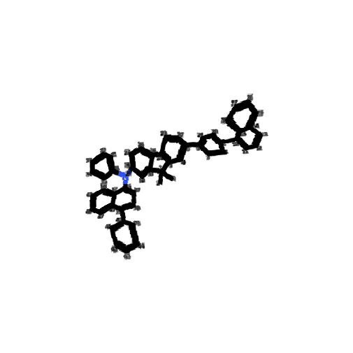 CC1(C)c2cc(-c3ccc(-c4cccc5ccccc45)cc3)ccc2-c2ccc(N(c3ccccc3)c3ccc(-c4ccccc4)c4ccccc34)cc21